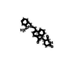 COc1ccccc1CNCc1ccc2c3c(cccc13)N(C1CCC(=O)NC1=O)C2=O